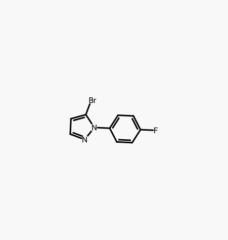 Fc1ccc(-n2nccc2Br)cc1